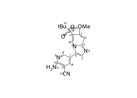 COc1cc2ncc(-c3cnc(N)c(C#N)c3)n2cc1S(=O)(=O)C(C)(C)C